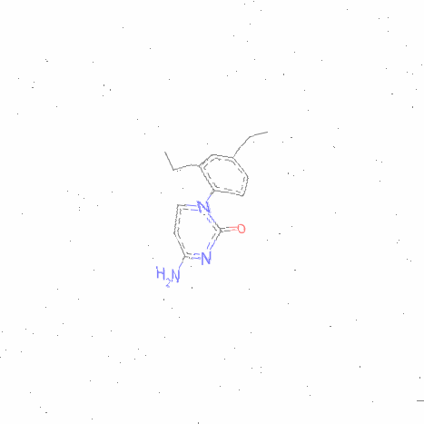 CCc1ccc(-n2ccc(N)nc2=O)c(CC)c1